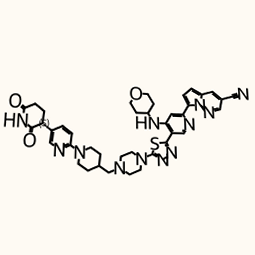 N#Cc1cnn2c(-c3cc(NC4CCOCC4)c(-c4nnc(N5CCN(CC6CCN(c7ccc([C@@H]8CCC(=O)NC8=O)cn7)CC6)CC5)s4)cn3)ccc2c1